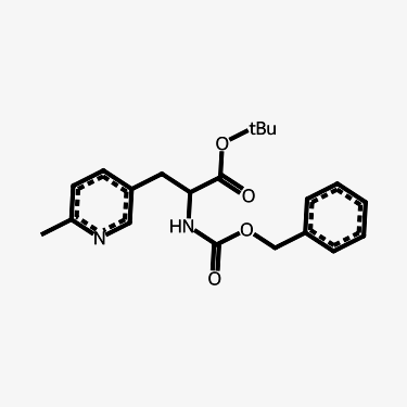 Cc1ccc(CC(NC(=O)OCc2ccccc2)C(=O)OC(C)(C)C)cn1